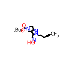 CC(C)(C)OC(=O)N1CCc2nn(CCCC#CC(F)(F)F)c(C=NO)c2C1